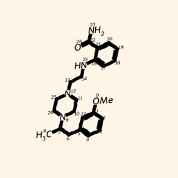 COc1cccc(CC(C)N2CCN(CCNc3ccccc3C(N)=O)CC2)c1